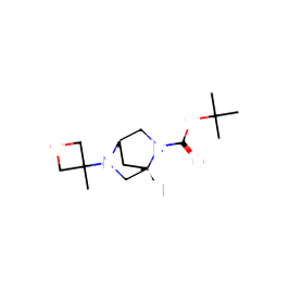 CC(C)(C)OC(=O)N1CC2C[C@H]1CN2C1(C)COC1